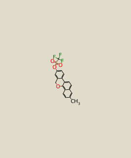 Cc1ccc2c3c(ccc2c1)-c1ccc(OS(=O)(=O)C(F)(F)F)cc1CO3